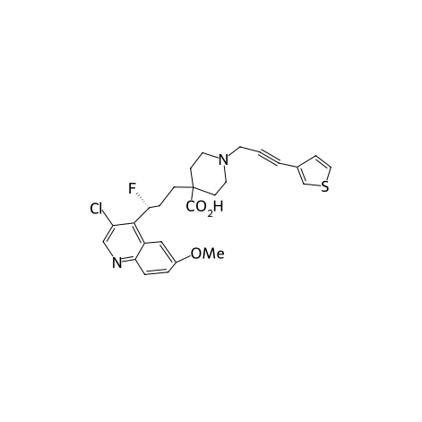 COc1ccc2ncc(Cl)c([C@H](F)CCC3(C(=O)O)CCN(CC#Cc4ccsc4)CC3)c2c1